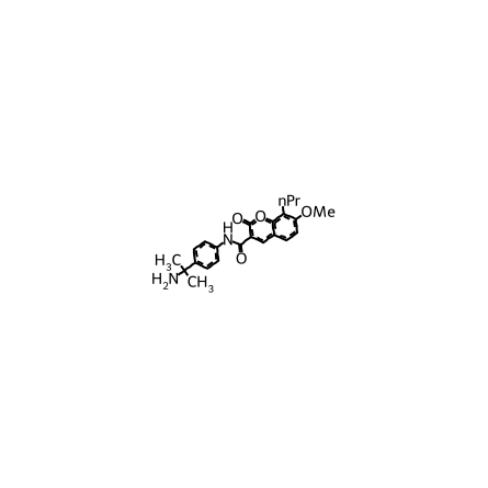 CCCc1c(OC)ccc2cc(C(=O)Nc3ccc(C(C)(C)N)cc3)c(=O)oc12